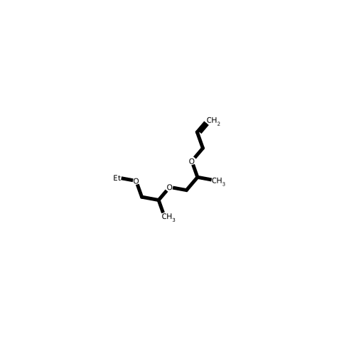 C=CCOC(C)COC(C)COCC